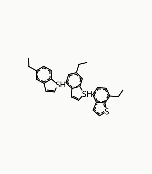 CCc1ccc2c(c1)C=C[SH]2c1cc(CC)cc2c1C=C[SH]2c1ccc(CC)c2sccc12